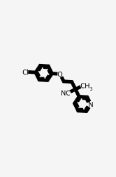 CC(C#N)(CCOc1ccc(Cl)cc1)c1cccnc1